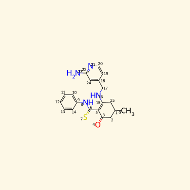 CC1CC(=O)C(C(=S)Nc2ccccc2)=C(NCc2ccnc(N)c2)C1